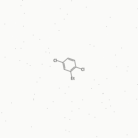 CCc1cc(Cl)ccc1Cl